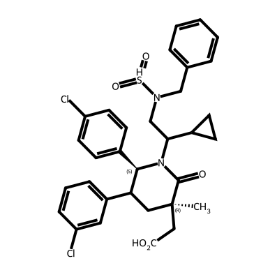 C[C@]1(CC(=O)O)CC(c2cccc(Cl)c2)[C@@H](c2ccc(Cl)cc2)N(C(CN(Cc2ccccc2)[SH](=O)=O)C2CC2)C1=O